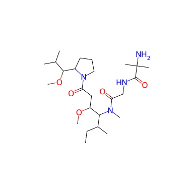 CCC(C)C(C(CC(=O)N1CCCC1C(OC)C(C)C)OC)N(C)C(=O)CNC(=O)C(C)(C)N